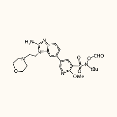 COc1ncc(-c2ccc3nc(N)n(CCN4CCOCC4)c3c2)cc1S(=O)(=O)N(OC=O)C(C)(C)C